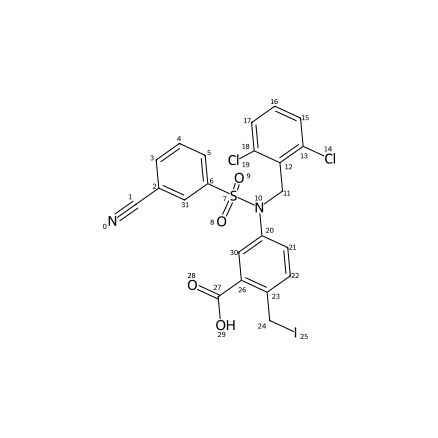 N#Cc1cccc(S(=O)(=O)N(Cc2c(Cl)cccc2Cl)c2ccc(CI)c(C(=O)O)c2)c1